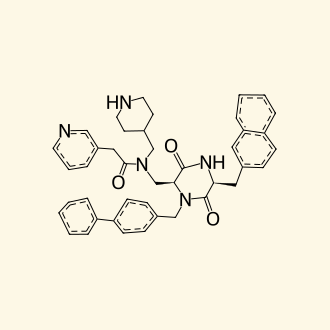 O=C1N[C@@H](Cc2ccc3ccccc3c2)C(=O)N(Cc2ccc(-c3ccccc3)cc2)[C@H]1CN(CC1CCNCC1)C(=O)Cc1cccnc1